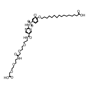 O=C(O)CCCCCCCCCCCCCCCOc1ccc(S(=O)(=O)Nc2ncc(C(=O)NCCOCCOCC(=O)NCCOCCOCC(=O)O)cn2)cc1Cl